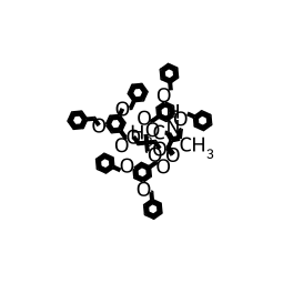 Cc1c[nH]c(C)c1C(=O)OCC(COC(=O)c1cc(OCc2ccccc2)cc(OCc2ccccc2)c1)(COC(=O)c1cc(OCc2ccccc2)cc(OCc2ccccc2)c1)COC(=O)c1cc(OCc2ccccc2)cc(OCc2ccccc2)c1